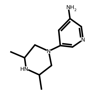 CC1CN(c2cncc(N)c2)CC(C)N1